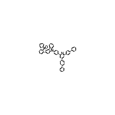 O=P1(c2ccccc2)c2ccccc2-c2ccc3c(c21)c1ccccc1n3-c1ccc(-c2cc(-c3ccc(-c4ccccc4)cc3)cc(-c3ccc(-c4ccccc4)cc3)n2)cc1